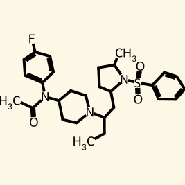 CCC(CC1CCC(C)N1S(=O)(=O)c1ccccc1)N1CCC(N(C(C)=O)c2ccc(F)cc2)CC1